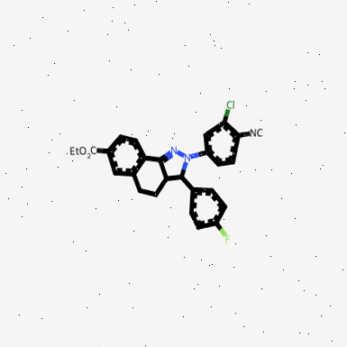 [C-]#[N+]c1ccc(N2N=C3c4ccc(C(=O)OCC)cc4CCC3C2c2ccc(F)cc2)cc1Cl